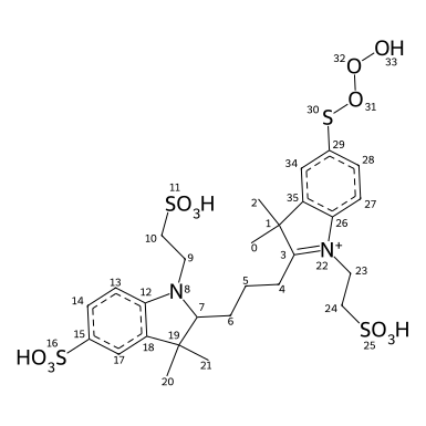 CC1(C)C(CCCC2N(CCS(=O)(=O)O)c3ccc(S(=O)(=O)O)cc3C2(C)C)=[N+](CCS(=O)(=O)O)c2ccc(SOOO)cc21